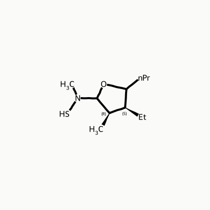 CCCC1OC(N(C)S)[C@H](C)[C@@H]1CC